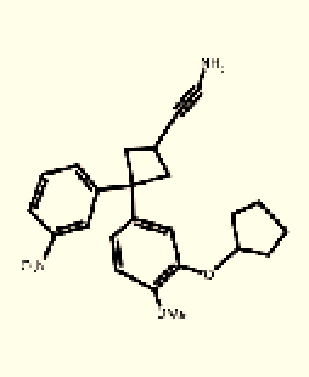 COc1ccc(C2(c3cccc([N+](=O)[O-])c3)CC(C#CN)C2)cc1OC1CCCC1